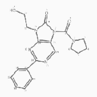 O=C(N1CCCC1)n1c(=O)n(CCO)c2nc(-c3ccccc3)ncc21